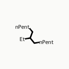 CCCCCCC(CC)CCCCCC